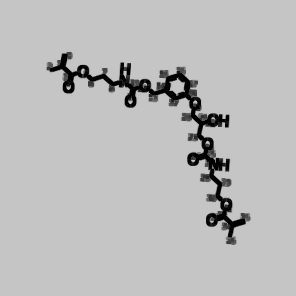 C=C(C)C(=O)OCCCNC(=O)OCc1cccc(OCC(O)COC(=O)NCCCOC(=O)C(=C)C)c1